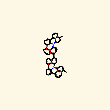 Cc1ccc(N(c2ccc(-c3ccc(N(c4ccc(C)cc4)c4c(-c5ccccc5)cccc4-c4ccccc4)c(C)c3)cc2C)c2c(-c3ccccc3)cccc2-c2ccccc2)cc1